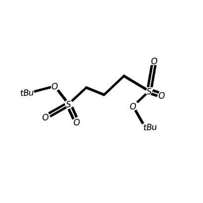 CC(C)(C)OS(=O)(=O)CCCS(=O)(=O)OC(C)(C)C